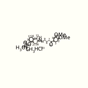 COc1ccc(C(=O)CCCCN2CCC3c4cccc(OC(=O)N(C)C)c4CCC32)cc1OC.Cl